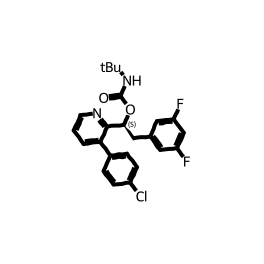 CC(C)(C)NC(=O)O[C@@H](Cc1cc(F)cc(F)c1)c1ncccc1-c1ccc(Cl)cc1